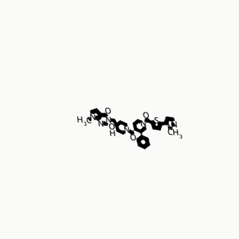 Cn1nccc1-c1ccc(C(=O)N2CC[C@@H](C(=O)N3CCC(O)(Cn4cnc5c(ccn5C)c4=O)CC3)[C@H](c3ccccc3)C2)s1